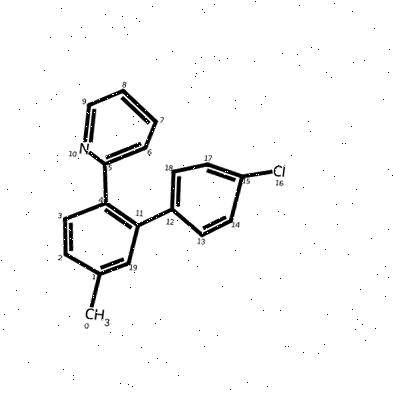 Cc1ccc(-c2ccccn2)c(-c2ccc(Cl)cc2)c1